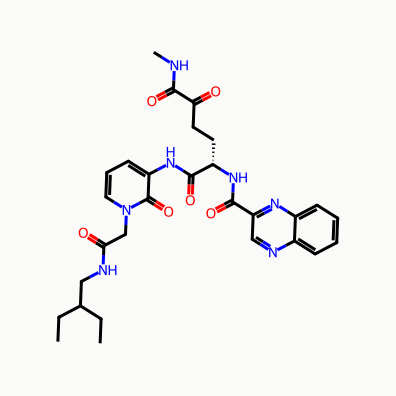 CCC(CC)CNC(=O)Cn1cccc(NC(=O)[C@H](CCC(=O)C(=O)NC)NC(=O)c2cnc3ccccc3n2)c1=O